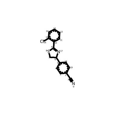 N#Cc1ccc(C2CSC(c3ccccc3Cl)=N2)cc1